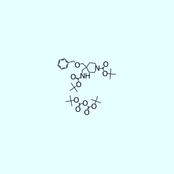 CC(C)(C)OC(=O)NCC1(COCc2ccccc2)CCN(C(=O)OC(C)(C)C)CC1.CC(C)(C)OC(=O)OC(=O)OC(C)(C)C